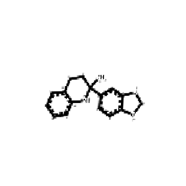 CC1(c2ccc3c(c2)OCO3)CCc2ccccc2N1